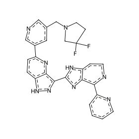 FC1(F)CCN(Cc2cncc(-c3ccc4[nH]nc(-c5nc6c(-c7ccccn7)nccc6[nH]5)c4n3)c2)C1